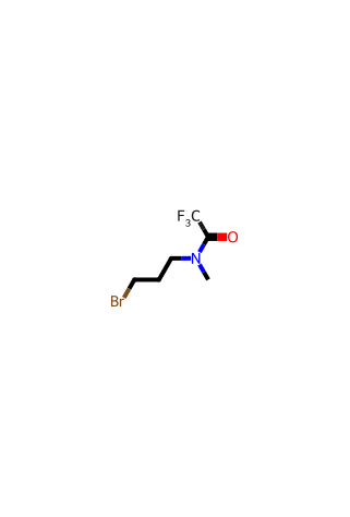 CN(CCCBr)C(=O)C(F)(F)F